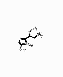 CSC(CN)c1ncc(O)[nH]1